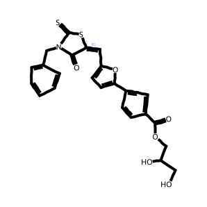 O=C(OCC(O)CO)c1ccc(-c2ccc(/C=C3/SC(=S)N(Cc4ccccc4)C3=O)o2)cc1